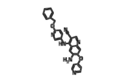 N#Cc1cnc2cc(Oc3ccncc3)c(N)cc2c1Nc1ccc(OCc2ccccc2)nc1